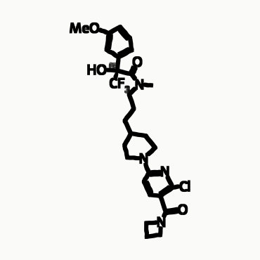 COc1cccc([C@@](O)(C(=O)N(C)CCCC2CCN(c3ccc(C(=O)N4CCC4)c(Cl)n3)CC2)C(F)(F)F)c1